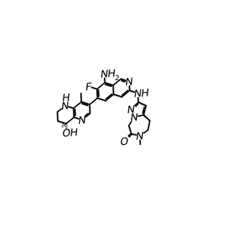 Cc1c(-c2cc3cc(Nc4cc5n(n4)CC(=O)N(C)CC5)ncc3c(N)c2F)cnc2c1NCC[C@H]2O